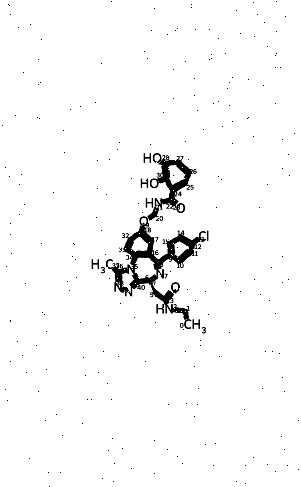 CCNC(=O)C[C@@H]1N=C(c2ccc(Cl)cc2)c2cc(OCNC(=O)c3cccc(O)c3O)ccc2-n2c(C)nnc21